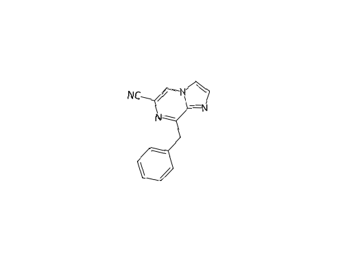 N#Cc1cn2ccnc2c(Cc2ccccc2)n1